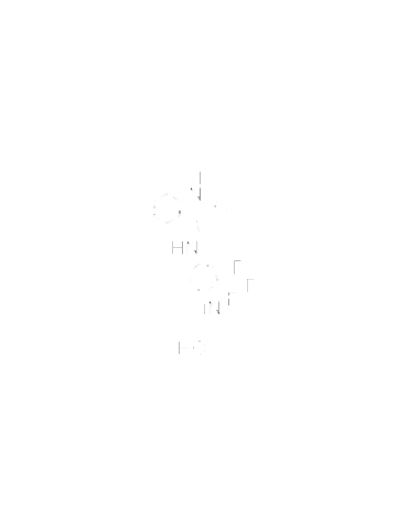 O=C1Nc2ccccc2/C1=C\Nc1ccc(NCCO)c(C(F)(F)F)c1